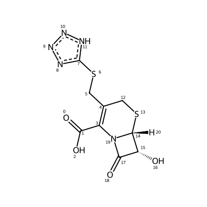 O=C(O)C1=C(CSc2nnn[nH]2)CS[C@@H]2[C@H](O)C(=O)N12